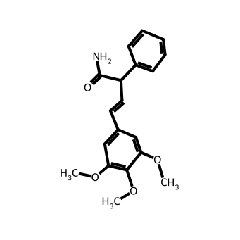 COc1cc(C=CC(C(N)=O)c2ccccc2)cc(OC)c1OC